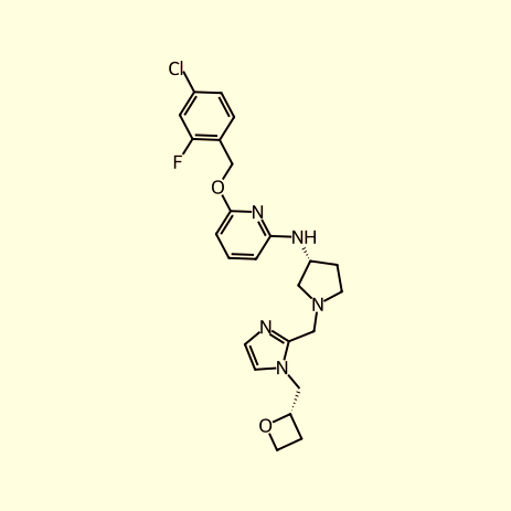 Fc1cc(Cl)ccc1COc1cccc(N[C@@H]2CCN(Cc3nccn3C[C@@H]3CCO3)C2)n1